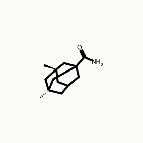 C[C@]12CC3CC(C(N)=O)(C1)C[C@@](C)(C3)C2